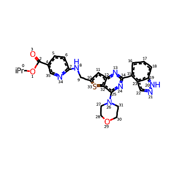 CC(C)OC(=O)c1ccc(NCc2cc3nc(-c4cccc5[nH]ncc45)nc(N4CCOCC4)c3s2)nc1